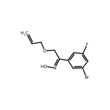 C=CCOCC(=NO)c1cc(F)cc(Br)c1